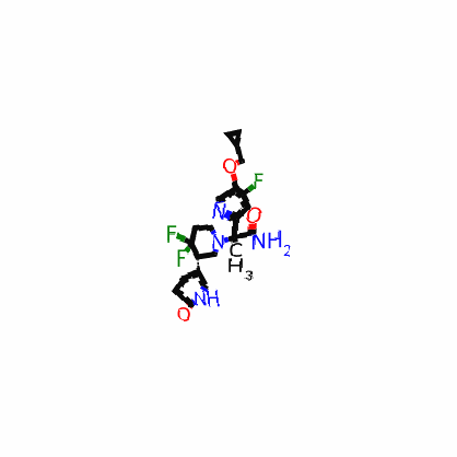 CC(C(N)=O)(c1cc(F)c(OCC2CC2)cn1)N1CCC(F)(F)[C@@H](c2ccc(=O)[nH]c2)C1